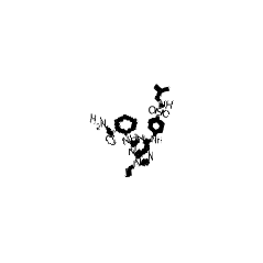 CCn1cnc2c(Nc3ccc(S(=O)(=O)NCC(C)C)cc3)nc(N[C@H]3CCCC[C@H]3C(N)=O)nc21